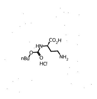 CCCCOC(=O)N[C@H](CCN)C(=O)O.Cl